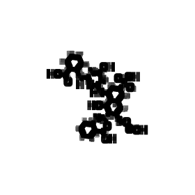 O=C(O)c1ccccc1N=Nc1c(SOOO)cc2cc(S(=O)(=O)O)cc(Nc3nc(O)nc(Nc4ccccc4C(=O)O)n3)c2c1O